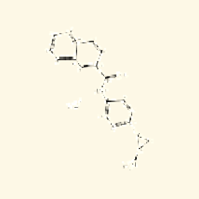 Cl.N[C@@H]1C[C@H]1c1ccc(NC(=O)c2ccc3ccccc3c2)cc1